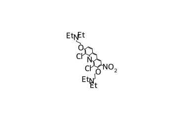 CCN(CC)CCOc1ccc2cc3cc([N+](=O)[O-])c(OCCN(CC)CC)c(Cl)c3nc2c1Cl